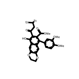 CCC(CC)CC(=O)c1c(C(=O)OC)c(-c2ccc(OC)c(OC)c2)c2cc3c(cc2c1O)OCCO3